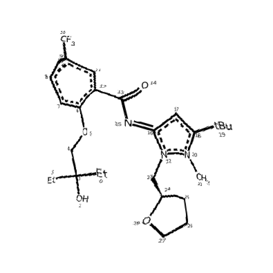 CCC(O)(CC)COc1ccc(C(F)(F)F)cc1C(=O)/N=c1\cc(C(C)(C)C)n(C)n1C[C@H]1CCCO1